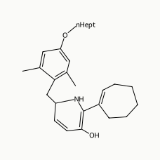 CCCCCCCOc1cc(C)c(CC2C=CC(O)=C(C3=CCCCCC3)N2)c(C)c1